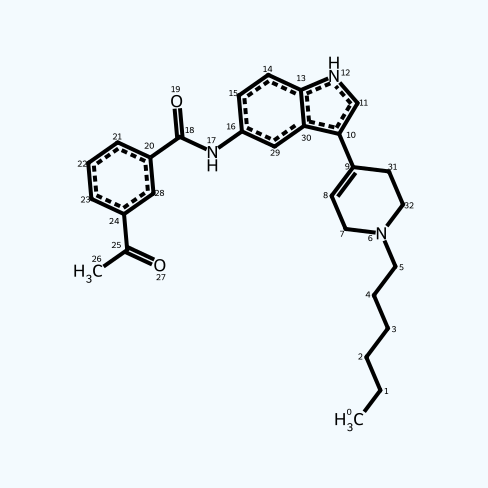 CCCCCCN1CC=C(c2c[nH]c3ccc(NC(=O)c4cccc(C(C)=O)c4)cc23)CC1